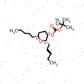 CC/C=C/C[C@@H]1O[C@@H](CCCCC)CC[C@@H]1OC(=O)OC(C)(C)C